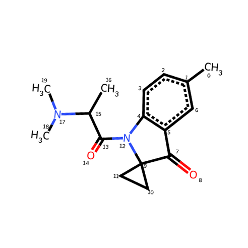 Cc1ccc2c(c1)C(=O)C1(CC1)N2C(=O)C(C)N(C)C